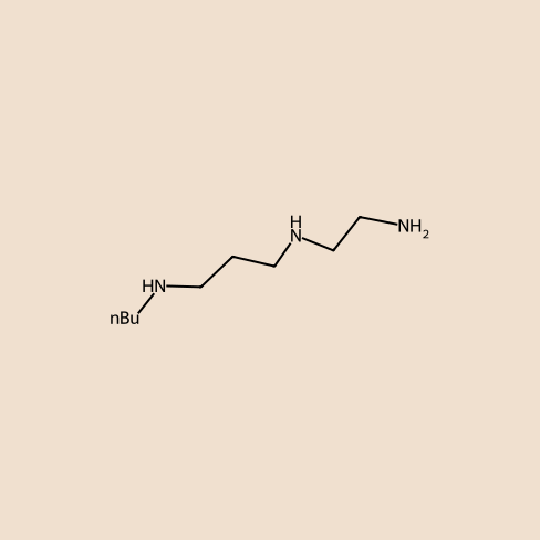 [CH2]CCCNCCCNCCN